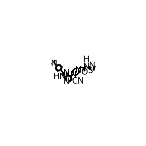 CN(C)c1ccc(-c2nc3c(N4CCN(CC(=O)Nc5nccs5)CC4)c(C#N)cnc3[nH]2)cc1